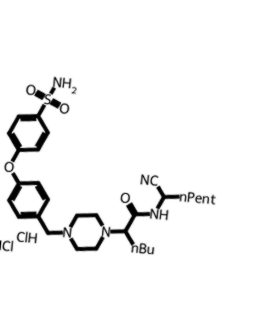 CCCCCC(C#N)NC(=O)C(CCCC)N1CCN(Cc2ccc(Oc3ccc(S(N)(=O)=O)cc3)cc2)CC1.Cl.Cl